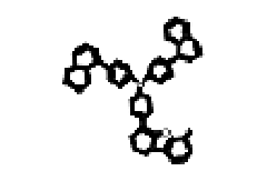 CC1CC=Cc2c1oc1c(-c3ccc(N(c4ccc(-c5cccc6ccccc56)cc4)c4ccc(-c5cccc6ccccc56)cc4)cc3)cccc21